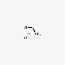 [Al+2][O][SiH3].[Cl-].[Cl-]